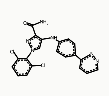 NC(=O)c1nn(-c2c(Cl)cccc2Cl)cc1Nc1ccc(-c2cccnn2)cc1